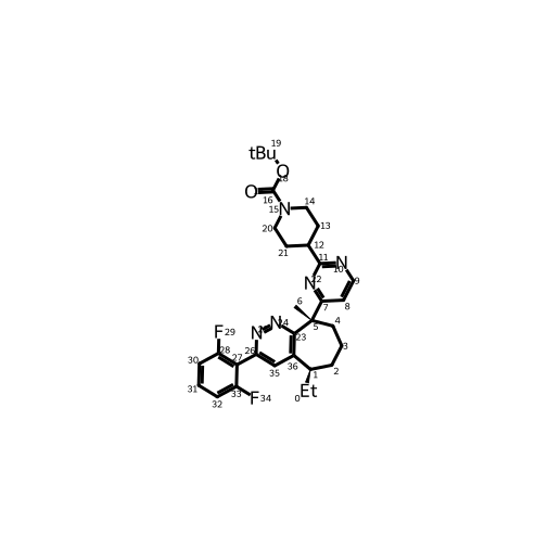 CC[C@@H]1CCC[C@@](C)(c2ccnc(C3CCN(C(=O)OC(C)(C)C)CC3)n2)c2nnc(-c3c(F)cccc3F)cc21